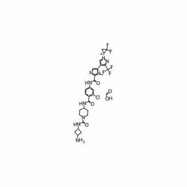 Cn1c(-c2cn([C@@H]3CC3(F)F)nc2C(F)(F)F)cnc1C(=O)Nc1ccc(C(=O)NC2CCN(C(=O)NC3CC(N)C3)CC2)c(Cl)c1.O=CO